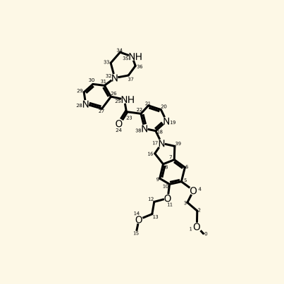 COCCOc1cc2c(cc1OCCOC)CN(c1nccc(C(=O)Nc3cnccc3N3CCNCC3)n1)C2